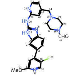 COc1cc(-c2ccc3nc(Nc4cc(CN5CCN(C=O)CC5)ccn4)[nH]c3c2)c(F)cn1